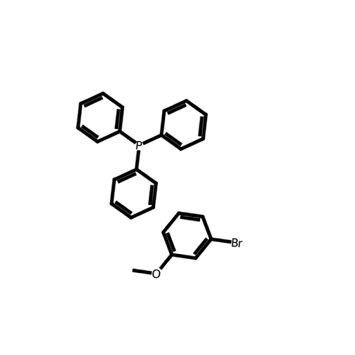 COc1cccc(Br)c1.c1ccc(P(c2ccccc2)c2ccccc2)cc1